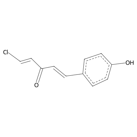 O=C(C=CCl)C=Cc1ccc(O)cc1